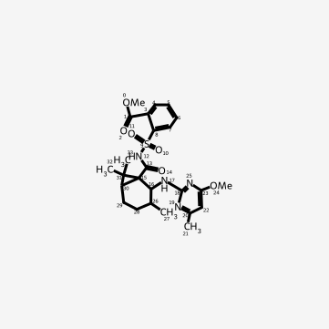 COC(=O)c1ccccc1S(=O)(=O)NC(=O)C12C(Nc3nc(C)cc(OC)n3)C(C)CCC1C2(C)C